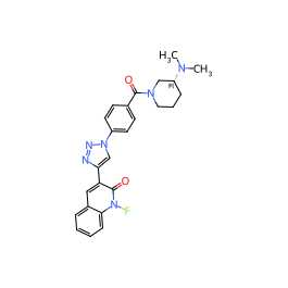 CN(C)[C@@H]1CCCN(C(=O)c2ccc(-n3cc(-c4cc5ccccc5n(F)c4=O)nn3)cc2)C1